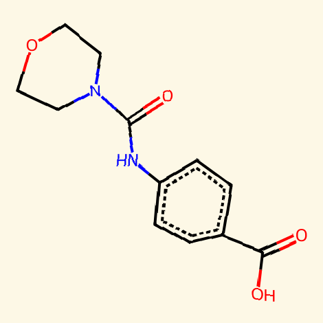 O=C(O)c1ccc(NC(=O)N2CCOCC2)cc1